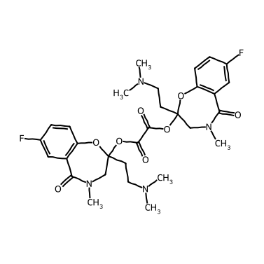 CN(C)CCC1(OC(=O)C(=O)OC2(CCN(C)C)CN(C)C(=O)c3cc(F)ccc3O2)CN(C)C(=O)c2cc(F)ccc2O1